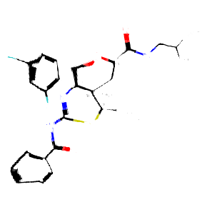 COC(CNC(=O)[C@H]1C[C@H]2[C@@H](C)SC(NC(=O)c3ccccc3)=N[C@@]2(c2ccc(F)cc2F)CO1)OC